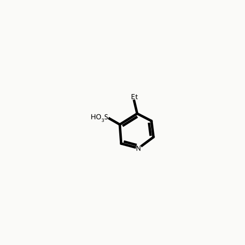 CCc1ccncc1S(=O)(=O)O